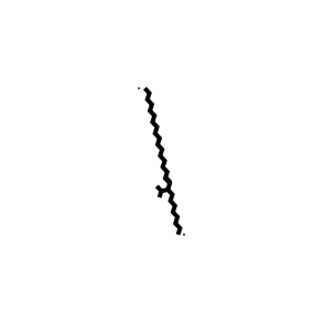 [CH2]CCCCCCCCCCCCCCCC=CC(CCCCCCC[CH2])C(C)C